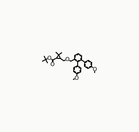 COc1ccc(-c2cccc(COCC3C(C(=O)OC(C)(C)C)C3(C)C)c2-c2ccc(OC)cc2)cc1